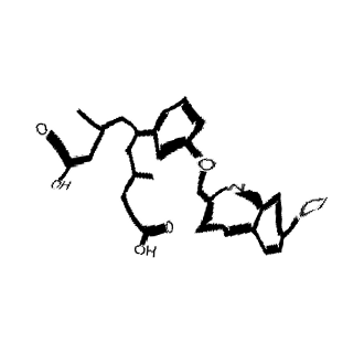 CC(CC(=O)O)CC(CC(C)CC(=O)O)c1cccc(OCc2ccc3ccc(Cl)cc3n2)c1